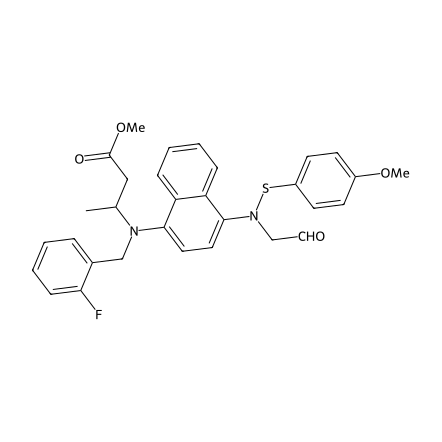 COC(=O)CC(C)N(Cc1ccccc1F)c1ccc(N(CC=O)Sc2ccc(OC)cc2)c2ccccc12